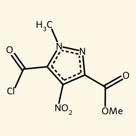 COC(=O)c1nn(C)c(C(=O)Cl)c1[N+](=O)[O-]